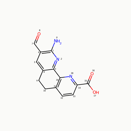 Nc1nc2c(cc1C=O)CCc1ccc(C(=O)O)nc1-2